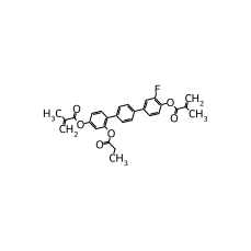 C=C(C)C(=O)Oc1ccc(-c2ccc(-c3ccc(OC(=O)C(=C)C)c(F)c3)cc2)c(OC(=O)CC)c1